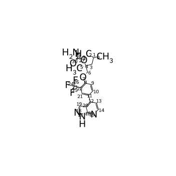 CC(C)C[C@@](C)(COc1ccc(-c2ccnc3[nH]ncc23)cc1C(F)(F)F)OC(N)=O